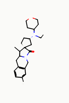 CC1C2Cc3ccc(C(F)(F)F)cc3CN2C(=O)[C@]12CC[C@@H](N(CC(=O)O)C1CCOCC1)C2